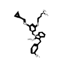 CN(C)CCCOc1cc(Cn2c(C(=O)O)c(Cc3cccc(C(F)(F)F)c3)c3ccccc32)cc(OCC2CC2)c1